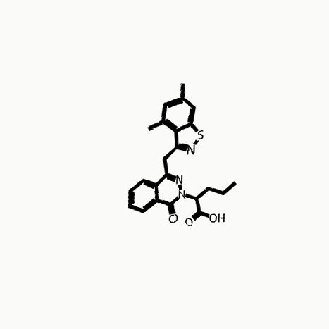 CCCC(C(=O)O)n1nc(Cc2nsc3cc(C)cc(C)c23)c2ccccc2c1=O